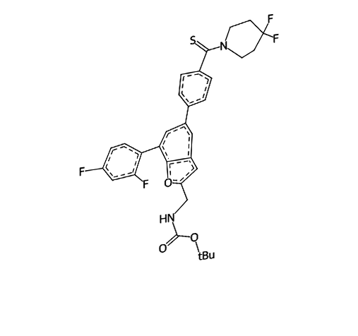 CC(C)(C)OC(=O)NCc1cc2cc(-c3ccc(C(=S)N4CCC(F)(F)CC4)cc3)cc(-c3ccc(F)cc3F)c2o1